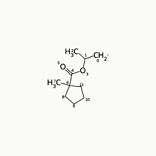 [CH2]C(C)OC(=O)C1(C)CCCC1